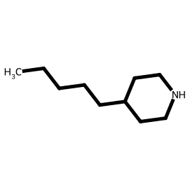 CCCCCC1CCNCC1